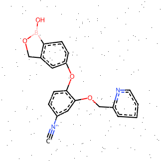 [C-]#[N+]c1ccc(Oc2ccc3c(c2)COB3O)c(OCc2ccccn2)c1